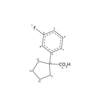 O=C(O)C1(c2cccc(F)c2)CCCC1